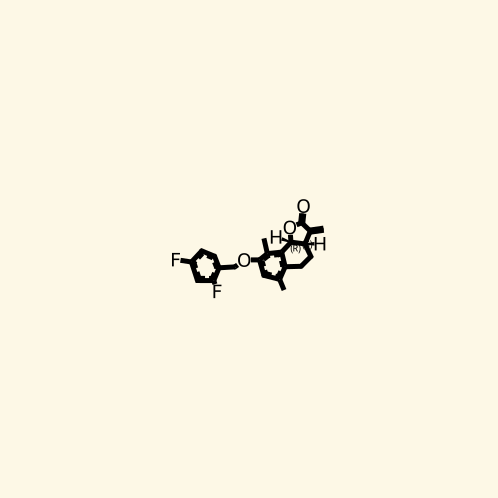 C=C1C(=O)O[C@H]2c3c(C)c(OCc4ccc(F)cc4F)cc(C)c3CC[C@@H]12